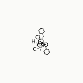 CC(Cl)(Cc1ccccc1)CS(=O)(=O)CC(C)(Cl)Cc1ccccc1